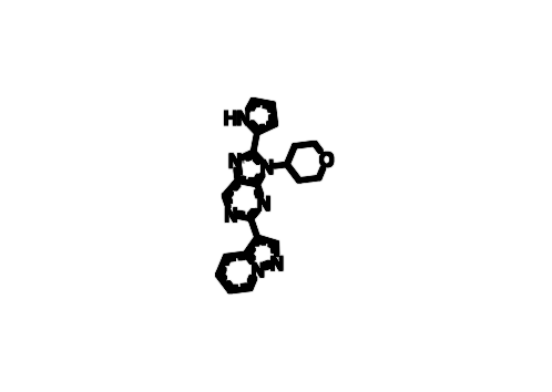 c1c[nH]c(-c2nc3cnc(-c4cnn5ccccc45)nc3n2C2CCOCC2)c1